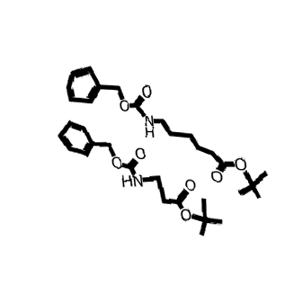 CC(C)(C)OC(=O)CCCCCNC(=O)OCc1ccccc1.CC(C)(C)OC(=O)CCNC(=O)OCc1ccccc1